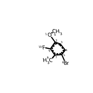 COc1ccc(Br)c(C)c1F